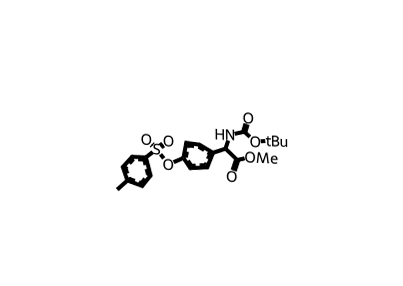 COC(=O)C(NC(=O)OC(C)(C)C)c1ccc(OS(=O)(=O)c2ccc(C)cc2)cc1